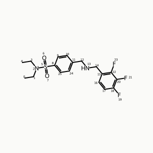 CCN(CC)S(=O)(=O)c1ccc(CNCc2ccc(F)c(F)c2F)cc1